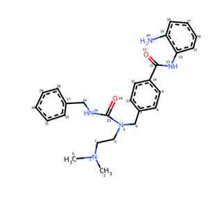 CN(C)CCN(Cc1ccc(C(=O)Nc2ccccc2N)cc1)C(=O)NCc1ccccc1